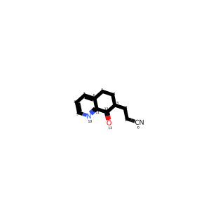 N#CCCC1CCc2cccnc2C1=O